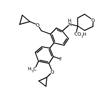 Cc1ccc(-c2ccc(NC3(C(=O)O)CCOCC3)cc2COC2CC2)c(F)c1OC1CC1